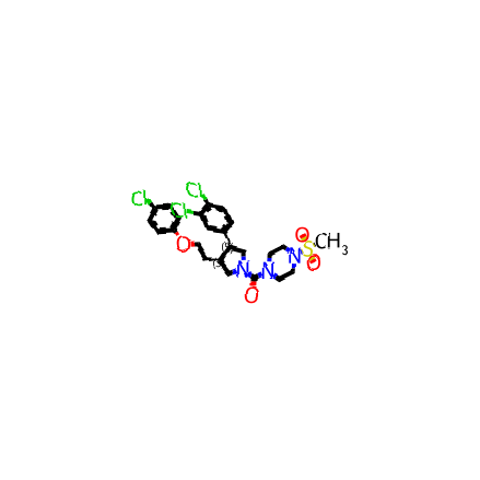 CS(=O)(=O)N1CCN(C(=O)N2C[C@@H](CCOc3ccc(Cl)cc3)[C@@H](c3ccc(Cl)c(Cl)c3)C2)CC1